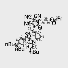 CCCCC(CC)COc1cc(N(CCCC)CCCC)ccc1-c1sc(/C=C/C2=C(C#N)C(=C(C#N)C#N)N(CCCCOC(=O)C(C)C)C2=O)c(-c2ccccc2)c1C#N